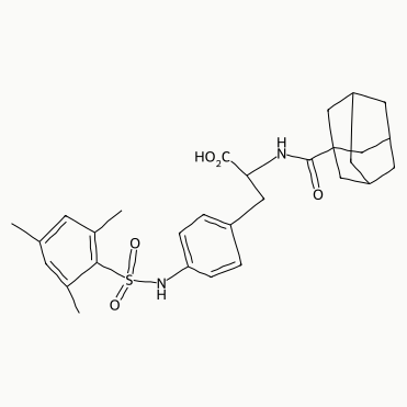 Cc1cc(C)c(S(=O)(=O)Nc2ccc(CC(NC(=O)C34CC5CC(CC(C5)C3)C4)C(=O)O)cc2)c(C)c1